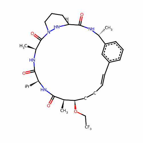 CC(C)[C@@H]1NC(=O)[C@H](C)[C@H](OCC(F)(F)F)CC/C=C/c2cccc(c2)[C@@H](C)NC(=O)[C@@H]2CCCN(N2)C(=O)[C@H](C)NC1=O